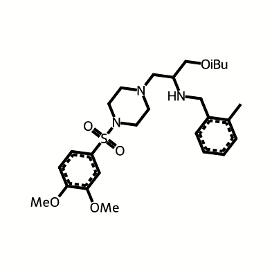 COc1ccc(S(=O)(=O)N2CCN(CC(COCC(C)C)NCc3ccccc3C)CC2)cc1OC